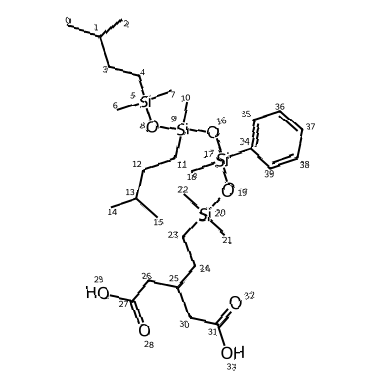 CC(C)CC[Si](C)(C)O[Si](C)(CCC(C)C)O[Si](C)(O[Si](C)(C)CCC(CC(=O)O)CC(=O)O)c1ccccc1